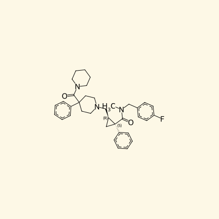 CN(Cc1ccc(F)cc1)C(=O)[C@@]1(c2ccccc2)C[C@H]1CN1CCC(C(=O)N2CCCCC2)(c2ccccc2)CC1